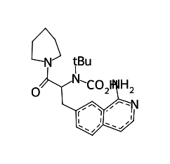 CC(C)(C)N(C(=O)O)C(Cc1ccc2ccnc(N)c2c1)C(=O)N1CCCCC1